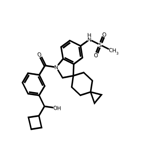 CS(=O)(=O)Nc1ccc2c(c1)C1(CCC3(CC3)CC1)CN2C(=O)c1cccc(C(O)C2CCC2)c1